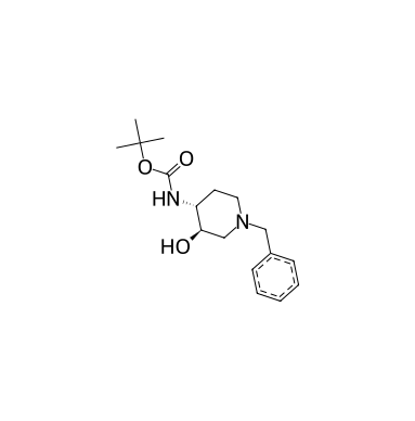 CC(C)(C)OC(=O)N[C@@H]1CCN(Cc2ccccc2)C[C@H]1O